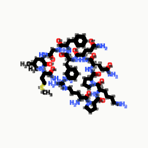 CSCCC(NC(=O)C(CC(C)C)NC(=O)CNC(=O)C(Cc1ccccc1)NC(=O)[C@H](Cc1ccccc1)NC(=O)C(CCC(N)=O)NC(=O)[C@H](CCC(N)=O)NC(=O)C1CCCN1C(=O)C(CCCCN)NC(=O)C1CCCN1C(=O)[C@@H](N)CCCN=C(N)N)C(N)=O